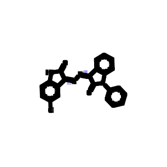 O=C1Nc2ccc(Cl)cc2/C1=N/N=C1\C(=O)N(c2ccccc2)c2ccccc21